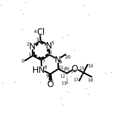 Cc1nc(Cl)nc2c1NC(=O)C([C@@H](C)OC(C)(C)C)N2C